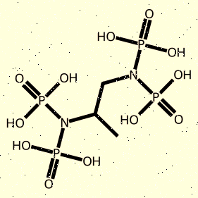 CC(CN(P(=O)(O)O)P(=O)(O)O)N(P(=O)(O)O)P(=O)(O)O